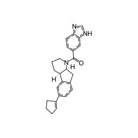 O=C(c1ccc2nc[nH]c2c1)N1CCC[C@@H]2c3cc(C4=CCCC4)ccc3C[C@@H]21